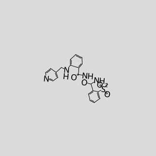 CS(=O)(=O)c1ccccc1C(N)ONC(=O)c1ccccc1NCc1ccncc1